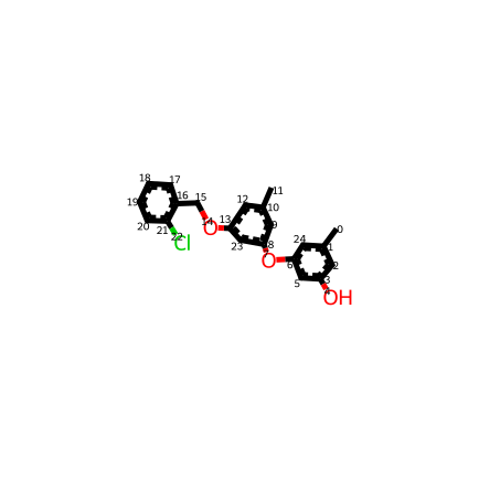 Cc1cc(O)cc(Oc2cc(C)cc(OCc3ccccc3Cl)c2)c1